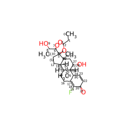 CCC(=O)O[C@]1(C(=O)CO)[C@@H](C)C[C@H]2[C@@H]3CCC4=C(F)C(=O)C=C[C@]4(C)[C@H]3[C@@H](O)C[C@@]21C